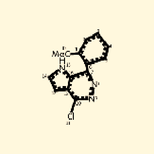 COc1ccccc1-c1nnc(Cl)c2cc[nH]c12